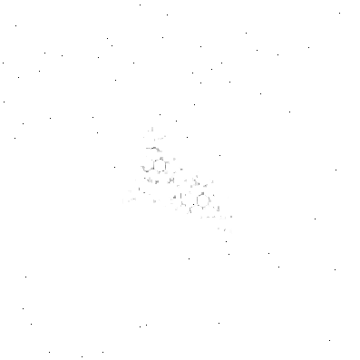 Cc1c(NC(=O)C(O)CO)c(I)c(C(=O)NCC(O)CO)c(I)c1C(=O)N(C)CCCN(C)C(=O)c1c(I)c(NC(=O)C(O)CO)c(I)c(C(=O)NCC(O)CO)c1I